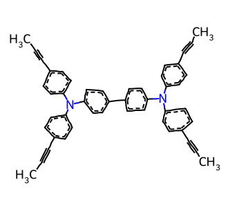 CC#Cc1ccc(N(c2ccc(C#CC)cc2)c2ccc(-c3ccc(N(c4ccc(C#CC)cc4)c4ccc(C#CC)cc4)cc3)cc2)cc1